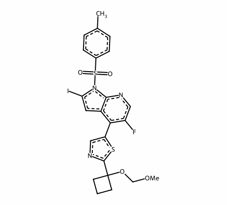 COCOC1(c2ncc(-c3c(F)cnc4c3cc(I)n4S(=O)(=O)c3ccc(C)cc3)s2)CCC1